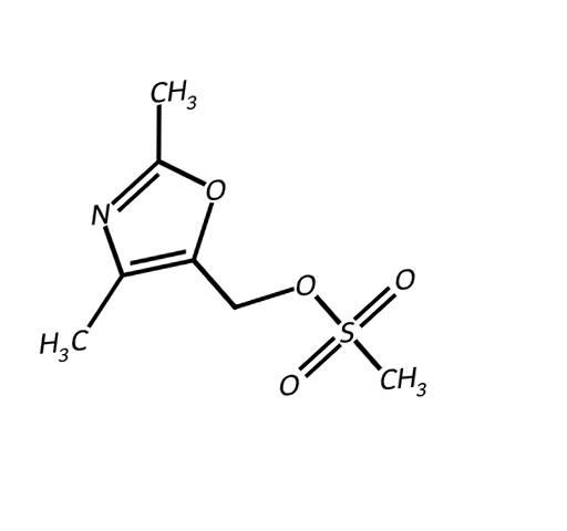 Cc1nc(C)c(COS(C)(=O)=O)o1